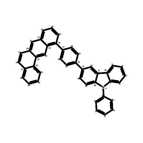 c1ccc(-n2c3ccccc3c3cc(-c4ccc(-c5cccc6cc7ccc8ccccc8c7cc56)cc4)ccc32)cc1